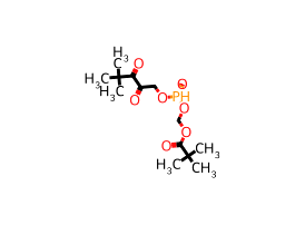 CC(C)(C)C(=O)OCO[PH](=O)OCC(=O)C(=O)C(C)(C)C